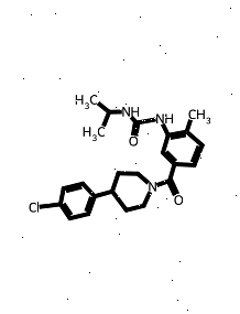 Cc1ccc(C(=O)N2CCC(c3ccc(Cl)cc3)CC2)cc1NC(=O)NC(C)C